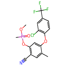 COP(C)(=O)Oc1cc(Oc2ccc(C(F)(F)F)cc2Cl)c(C)cc1C#N